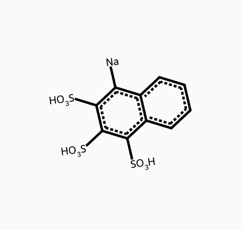 O=S(=O)(O)c1c(S(=O)(=O)O)c(S(=O)(=O)O)c2ccccc2[c]1[Na]